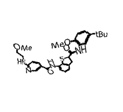 COCCNc1ccc(C(=O)Nc2cccc3c2SC(C(=O)Nc2cc(C(C)(C)C)ccc2OC)C3)cn1